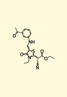 CCOC(=O)C(C#N)=c1sc(=CNc2cccc(C(C)=O)c2)c(=O)n1CC